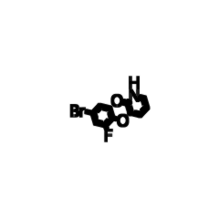 O=c1[nH]cccc1Oc1ccc(Br)cc1F